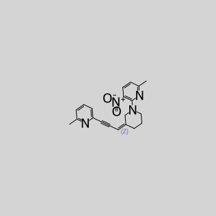 Cc1cccc(C#C/C=C2/CCCN(c3nc(C)ccc3[N+](=O)[O-])C2)n1